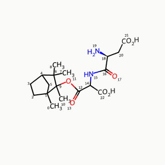 CC12CCC(C1)C(C)(C)C2(C)OC(=O)C(NC(=O)[C@@H](N)CC(=O)O)C(=O)O